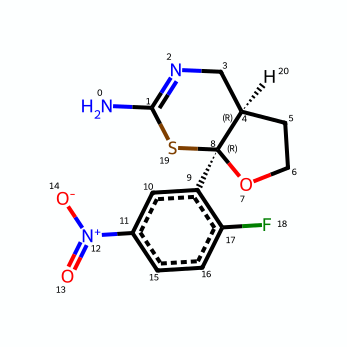 NC1=NC[C@H]2CCO[C@@]2(c2cc([N+](=O)[O-])ccc2F)S1